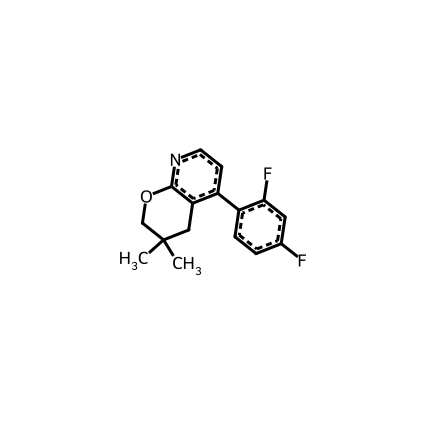 CC1(C)COc2nccc(-c3ccc(F)cc3F)c2C1